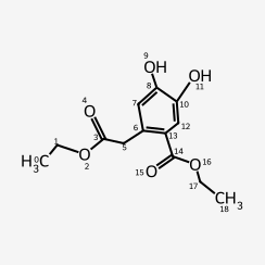 CCOC(=O)Cc1cc(O)c(O)cc1C(=O)OCC